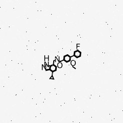 CCOc1cc(C(=O)N(C)Cc2ccc(C3CC3)c3cn[nH]c23)ccc1-c1cccc(F)c1